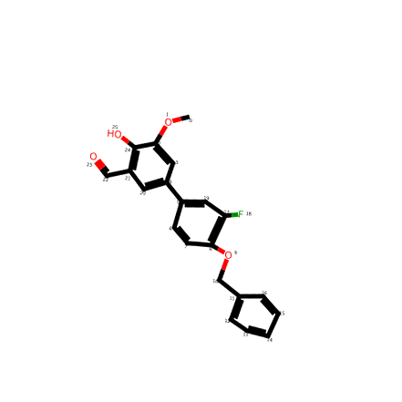 COc1cc(-c2ccc(OCc3ccccc3)c(F)c2)cc(C=O)c1O